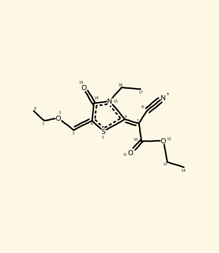 CCO/C=c1/s/c(=C(/C#N)C(=O)OCC)n(CC)c1=O